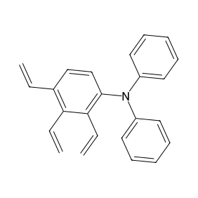 C=Cc1ccc(N(c2ccccc2)c2ccccc2)c(C=C)c1C=C